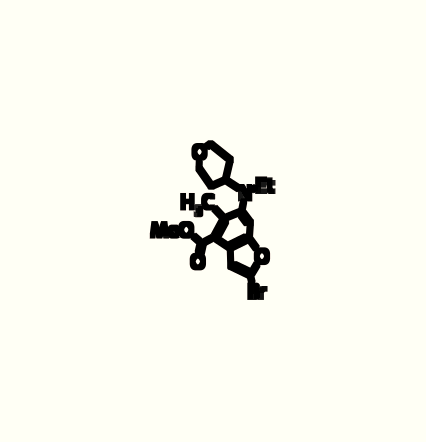 CCN(c1cc2oc(Br)cc2c(C(=O)OC)c1C)C1CCOCC1